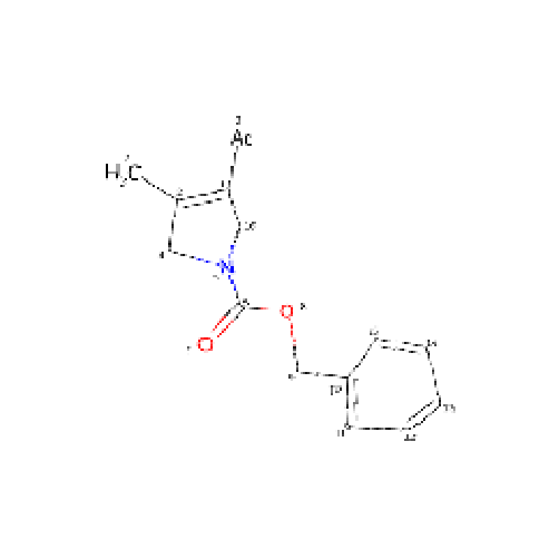 CC(=O)C1=C(C)CN(C(=O)OCc2ccccc2)C1